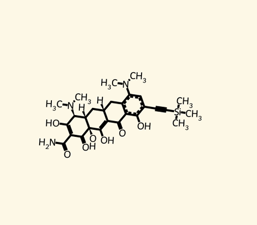 CN(C)c1cc(C#C[Si](C)(C)C)c(O)c2c1C[C@H]1C[C@H]3[C@H](N(C)C)C(O)=C(C(N)=O)C(=O)[C@@]3(O)C(O)=C1C2=O